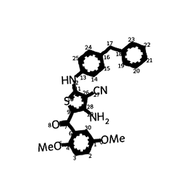 COc1ccc(OC)c(C(=O)c2sc(Nc3ccc(Cc4ccccc4)cc3)c(C#N)c2N)c1